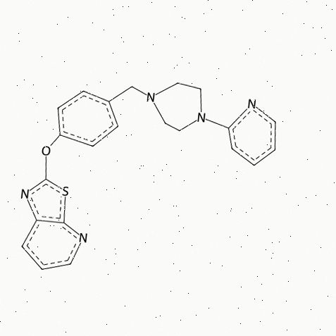 c1ccc(N2CCN(Cc3ccc(Oc4nc5cccnc5s4)cc3)CC2)nc1